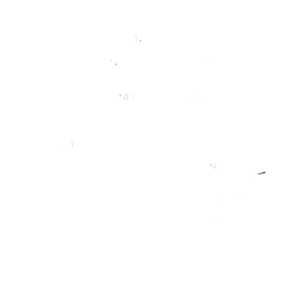 COc1cc2ncnc(Nc3ccc(F)c(Cl)c3)c2cc1OCCCN1CC(=O)O[C@H](C)C1